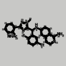 CCc1ccc(F)c(C(Nc2ccc3c(N)nccc3c2)c2nc(-c3ccccc3NC(C)=O)nn2C)c1